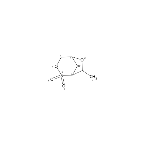 CC1OC2COS(=O)(=O)C1C2